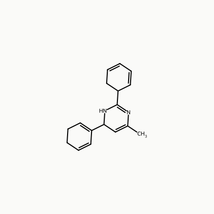 CC1=CC(C2=CCCC=C2)NC(C2C=CC=CC2)=N1